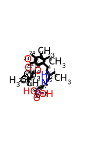 CC/C(=C\Cc1c(CC)c(C)c2c(c1OCC[Si](C)(C)C)C(=O)OC2)CNCCP(=O)(O)O